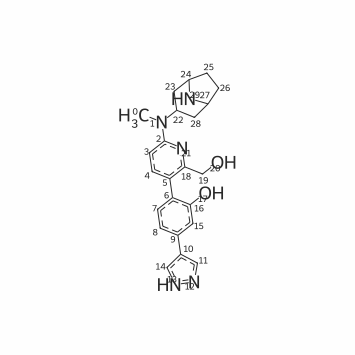 CN(c1ccc(-c2ccc(-c3cn[nH]c3)cc2O)c(CO)n1)C1CC2CCC(C1)N2